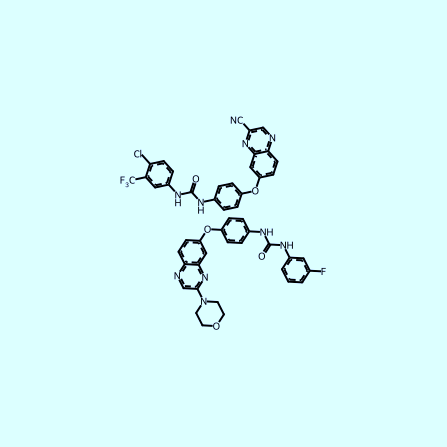 N#Cc1cnc2ccc(Oc3ccc(NC(=O)Nc4ccc(Cl)c(C(F)(F)F)c4)cc3)cc2n1.O=C(Nc1ccc(Oc2ccc3ncc(N4CCOCC4)nc3c2)cc1)Nc1cccc(F)c1